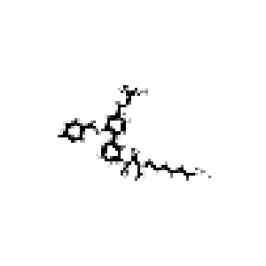 CCCCCCCNC(=O)N(C)c1cccc(-c2ccc(CCC(=O)O)cc2OCc2ccc(F)cc2)c1